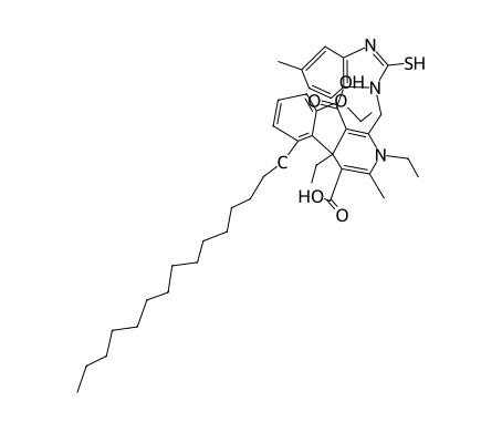 CCCCCCCCCCCCCCCc1cccc(OCC)c1C1(CC)C(C(=O)O)=C(C)N(CC)C(Cn2c(S)nc3cc(C)ccc32)=C1C(=O)O